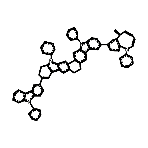 C=C1/C=C\C=C/N(c2ccccc2)c2ccc(-c3ccc4c(c3)c3cc5c(cc3n4-c3ccccc3)-c3cc4c(cc3CC5)c3c(n4-c4ccccc4)CCC(c4ccc5c(c4)c4ccccc4n5-c4ccccc4)=C3)cc21